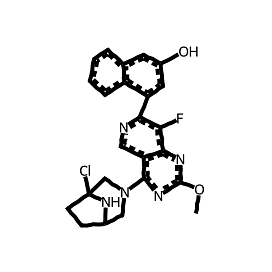 COc1nc(N2CC3CCC(Cl)(C2)N3)c2cnc(-c3cc(O)cc4ccccc34)c(F)c2n1